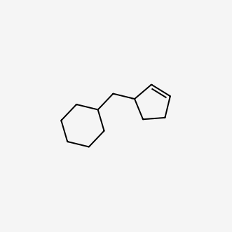 C1=C[C](CC2CCCCC2)CC1